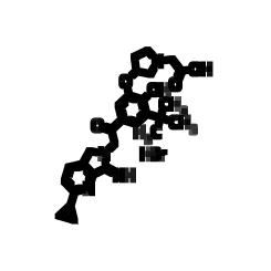 Br.CC(C)(C)c1cc(C(=O)CN2Cc3ccc(C4CC4)nc3C2=N)cc(OC2CCN(CC(=O)O)C2)c1O